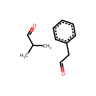 CC(C)C=O.O=CCc1ccccc1